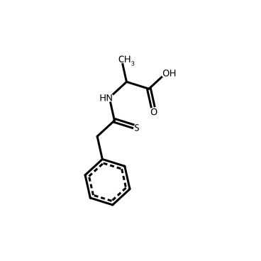 CC(NC(=S)Cc1ccccc1)C(=O)O